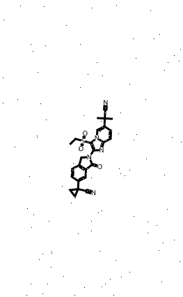 CCS(=O)(=O)c1c(N2Cc3ccc(C4(C#N)CC4)cc3C2=O)nc2ccc(C(C)(C)C#N)cn12